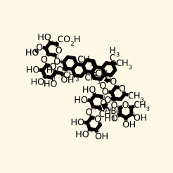 CC[C@H](C)C(=O)OC1(O[C@@H]2OC(C)[C@@H](O)C(O)C2O)CC(C)O[C@@H](OC(=O)[C@]23CCC(C)(C)CC2C2=CCC4[C@@]5(C)CC[C@H](O[C@@H]6OC(C(=O)O)[C@H](O)C(OO)C6O[C@@H]6OC(CO)[C@H](O)C(O)C6O)C(C)(C)C5CC[C@@]4(C)[C@]2(C)CC3)C1O[C@@H]1OC(C)[C@H](O[C@H]2OCC(O)[C@H](O)C2O)C(O)C1O